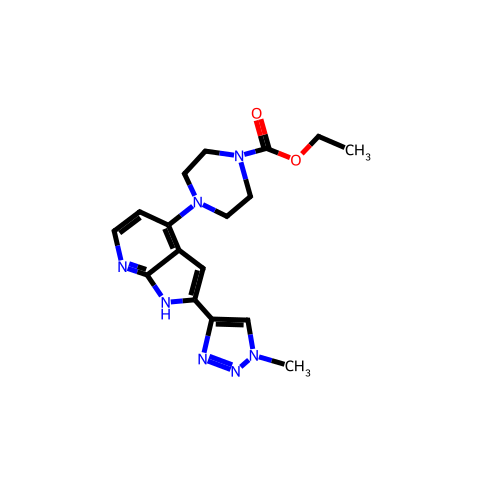 CCOC(=O)N1CCN(c2ccnc3[nH]c(-c4cn(C)nn4)cc23)CC1